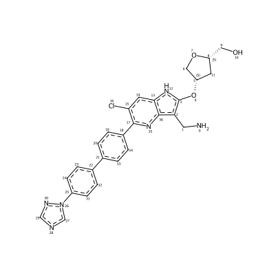 NCc1c(O[C@@H]2CO[C@H](CO)C2)[nH]c2cc(Cl)c(-c3ccc(-c4ccc(-n5cncn5)cc4)cc3)nc12